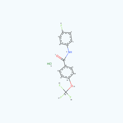 Cl.O=C(Nc1ccc(F)cc1)c1ccc(OC(F)(F)F)cc1